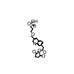 O=C(Cc1ccc2cc(COCCCS(=O)(=O)O)cnc2c1)ON1C(=O)CCC1=O